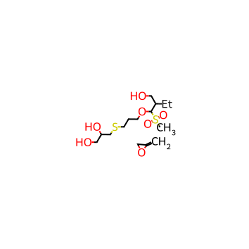 C=C1CO1.CCC(CO)C(OCCCSCC(O)CO)S(C)(=O)=O